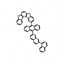 c1ccc2c(-c3ccc4ccc(-c5c6ccccc6c(-c6ccc7sc8ccc9oc%10ccccc%10c9c8c7c6)c6ccccc56)cc4c3)cccc2c1